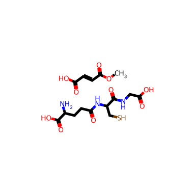 COC(=O)/C=C/C(=O)O.NC(CCC(=O)NC(CS)C(=O)NCC(=O)O)C(=O)O